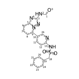 O=CNc1nc2cccc(-c3ccc(NS(=O)(=O)Cc4ccccc4)nc3)n2n1